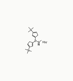 C[SiH](C)[Zr]([C]1=CC([Si](C)(C)C)=CC1)[C]1=CC([Si](C)(C)C)=CC1.[H-].[H-]